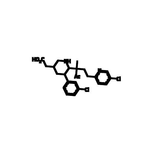 CC(=O)C(C)(CCc1ccc(Cl)cn1)C1NCC(CC(=O)O)CC1c1cccc(Cl)c1